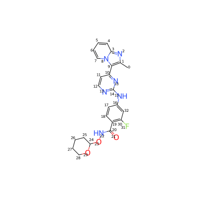 Cc1nc2ccccn2c1-c1ccnc(Nc2ccc(C(=O)NOC3CCCCO3)c(F)c2)n1